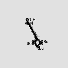 CC1CN(C(=O)OC(C)(C)C)CCN(C(=O)OC(C)(C)C)CCN(C(=O)OC(C)(C)C)CCN1CC(=O)NCCCOCCOCCOCCCNC(=O)CCC(=O)O